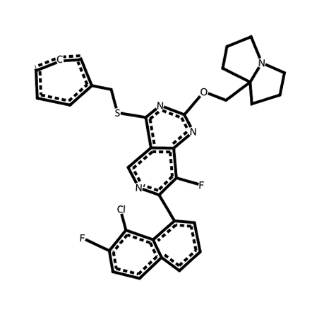 Fc1ccc2cccc(-c3ncc4c(SCc5ccccc5)nc(OCC56CCCN5CCC6)nc4c3F)c2c1Cl